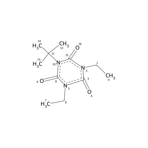 CCn1c(=O)n(CC)c(=O)n(C(C)(C)C)c1=O